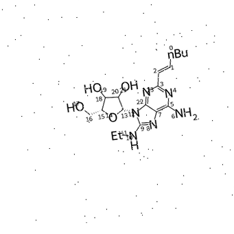 CCCCC=Cc1nc(N)c2nc(NCC)n([C@@H]3O[C@H](CO)C(O)C3O)c2n1